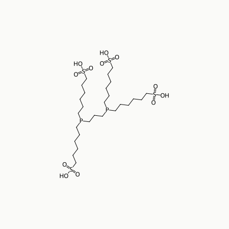 O=S(=O)(O)CCCCCCP(CCCCCCS(=O)(=O)O)CCCP(CCCCCCS(=O)(=O)O)CCCCCCS(=O)(=O)O